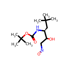 CC(C)(C)C[C@H](NC(=O)OC(C)(C)C)C(O)CN=O